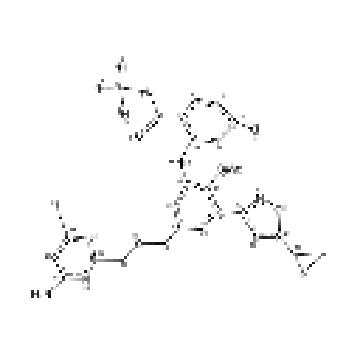 [2H]C([2H])([2H])NC(=O)c1cnc(Cl)cc1Nc1cc(COCc2cc(F)cc(N)n2)cc(-c2ncn(C3CC3)n2)c1OC